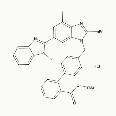 CCCCOC(=O)c1ccccc1-c1ccc(Cn2c(CCC)nc3c(C)cc(-c4nc5ccccc5n4C)cc32)cc1.Cl